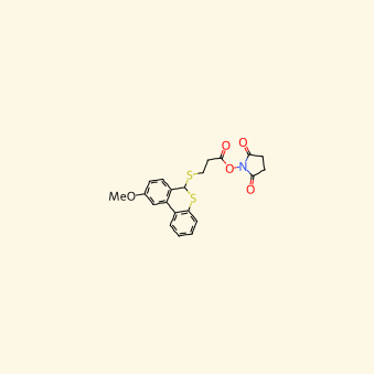 COc1ccc2c(c1)-c1ccccc1SC2SCCC(=O)ON1C(=O)CCC1=O